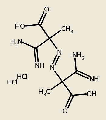 CC(N=NC(C)(C(=N)N)C(=O)O)(C(=N)N)C(=O)O.Cl.Cl